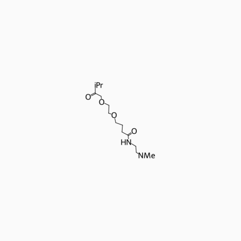 CNCCNC(=O)CCCOCCOCC(=O)C(C)C